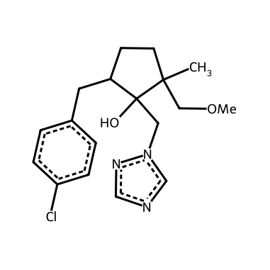 COCC1(C)CCC(Cc2ccc(Cl)cc2)C1(O)Cn1cncn1